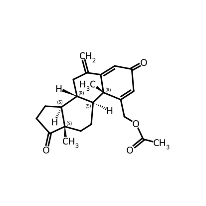 C=C1C[C@@H]2[C@H](CC[C@]3(C)C(=O)CC[C@@H]23)[C@@]2(C)C(COC(C)=O)=CC(=O)C=C12